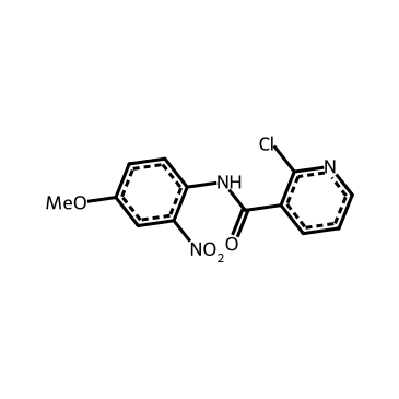 COc1ccc(NC(=O)c2cccnc2Cl)c([N+](=O)[O-])c1